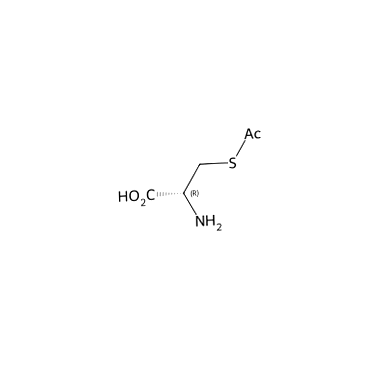 CC(=O)SC[C@H](N)C(=O)O